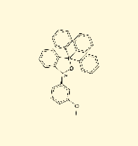 COc1cccc([C@@H]2OP(c3ccccc3)(c3ccccc3)(c3ccccc3)c3ccccc32)c1